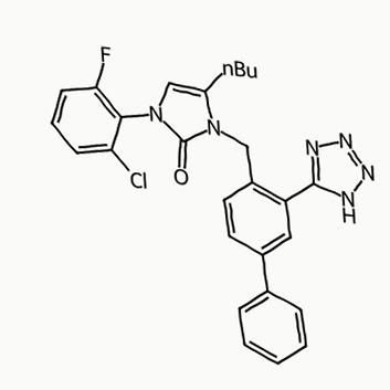 CCCCc1cn(-c2c(F)cccc2Cl)c(=O)n1Cc1ccc(-c2ccccc2)cc1-c1nnn[nH]1